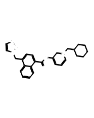 O=C(NC1=CC=CN(CC2CCCCC2)C1)c1ccc(Cn2ccnn2)c2ccccc12